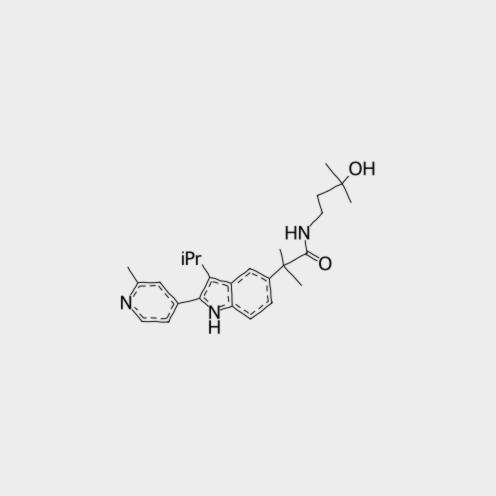 Cc1cc(-c2[nH]c3ccc(C(C)(C)C(=O)NCCC(C)(C)O)cc3c2C(C)C)ccn1